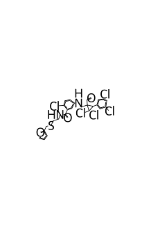 O=CC1(CNc2ccc(Cl)c(C(=O)NCCSCc3ccco3)c2)C(c2cc(Cl)cc(Cl)c2)C1(Cl)Cl